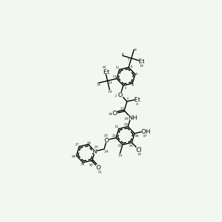 CCC(Oc1ccc(C(C)(C)CC)cc1C(C)(C)CC)C(=O)Nc1cc(OCn2ccccc2=O)c(C)c(Cl)c1O